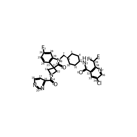 O=C(N[C@H]1CC[C@H](CN2C(=O)C3(CN(C(=O)c4ccncn4)C3)c3ccc(F)cc32)CC1)c1cc(Cl)cnc1C(F)F